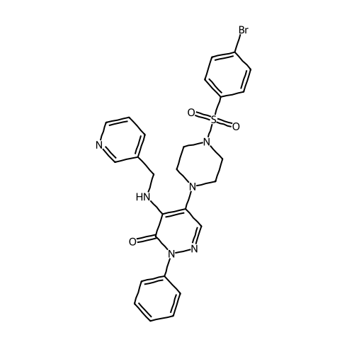 O=c1c(NCc2cccnc2)c(N2CCN(S(=O)(=O)c3ccc(Br)cc3)CC2)cnn1-c1ccccc1